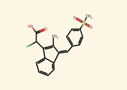 CC1=C(C(F)C(=O)O)c2ccccc2C1=Cc1ccc(S(C)(=O)=O)cc1